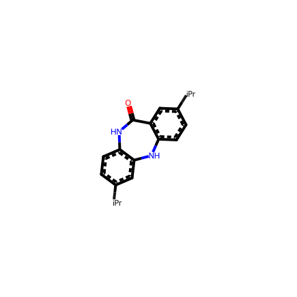 CC(C)c1ccc2c(c1)Nc1ccc(C(C)C)cc1C(=O)N2